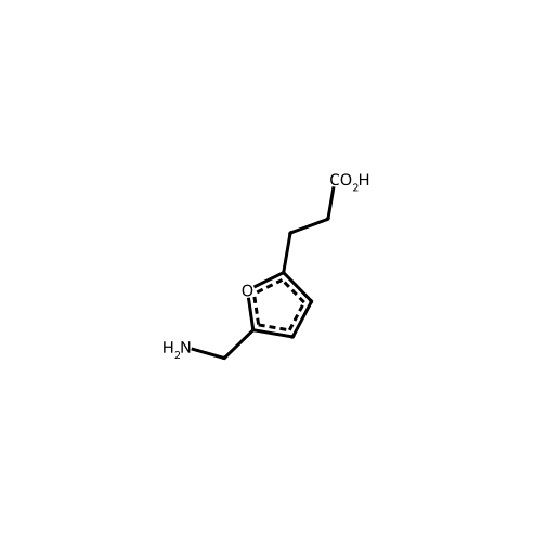 NCc1ccc(CCC(=O)O)o1